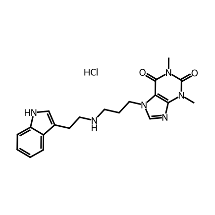 Cl.Cn1c(=O)c2c(ncn2CCCNCCc2c[nH]c3ccccc23)n(C)c1=O